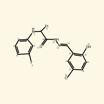 CCC(Nc1cccc(F)c1)C(=O)NN=Cc1cc(Cl)ccc1O